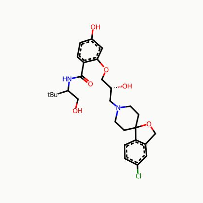 CC(C)(C)C(CO)NC(=O)c1ccc(O)cc1OC[C@H](O)CN1CCC2(CC1)OCc1cc(Cl)ccc12